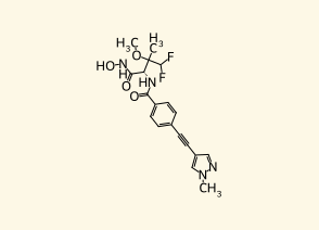 COC(C)(C(F)F)[C@H](NC(=O)c1ccc(C#Cc2cnn(C)c2)cc1)C(=O)NO